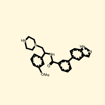 COc1cccc(C(CN2CCNCC2)NC(=O)c2cccc(-c3ccc4[nH]ncc4c3)c2)c1